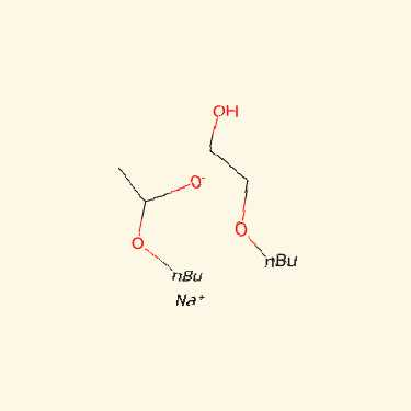 CCCCOC(C)[O-].CCCCOCCO.[Na+]